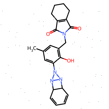 Cc1cc(CN2C(=O)C3=C(CCCC3)C2=O)c(O)c(-n2n3n2C2C=CC=CC23)c1